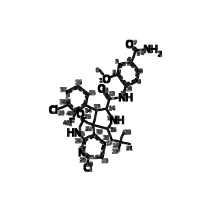 COc1cc(C(N)=O)ccc1NC(=O)C1NC(CC(C)(C)C)C2(C(=O)Nc3nc(Cl)ccc32)C1c1cccc(Cl)c1F